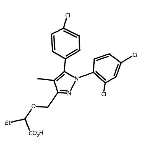 CCC(OCc1nn(-c2ccc(Cl)cc2Cl)c(-c2ccc(Cl)cc2)c1C)C(=O)O